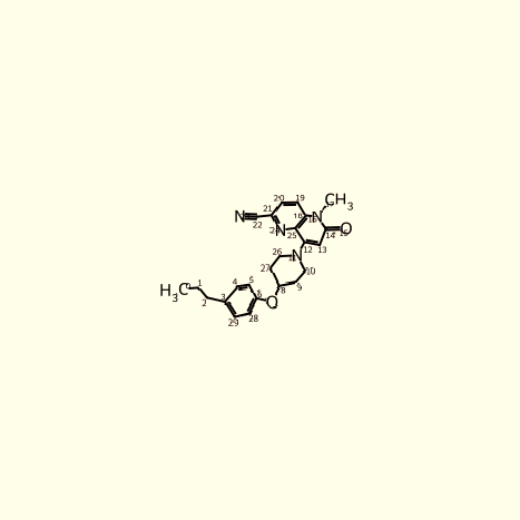 CCCc1ccc(OC2CCN(c3cc(=O)n(C)c4ccc(C#N)nc34)CC2)cc1